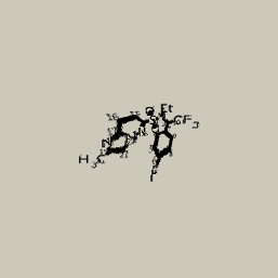 CCN(C(c1ccc(F)cc1)C(F)(F)F)S(=O)(=O)c1ccc2nc(C)cn2n1